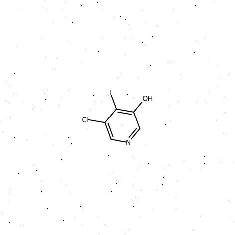 Oc1cncc(Cl)c1I